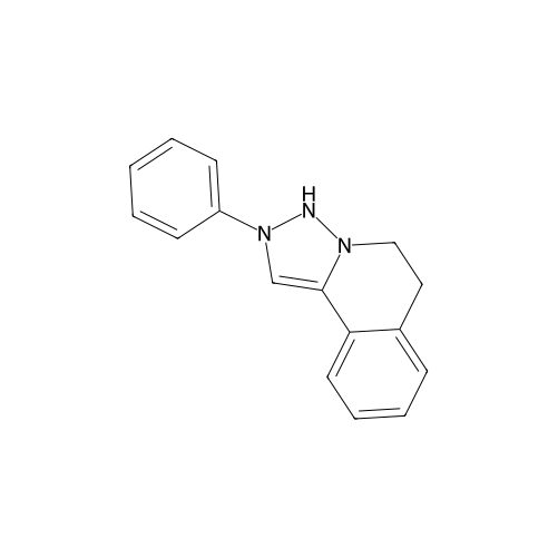 C1=C2c3ccccc3CCN2NN1c1ccccc1